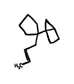 CC=CCC1(C23CCC2C3)CCCC1